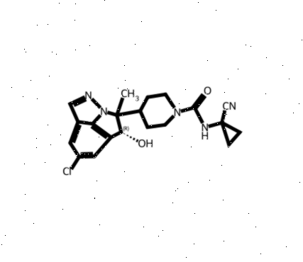 CC1(C2CCN(C(=O)NC3(C#N)CC3)CC2)[C@H](O)c2cc(Cl)cc3cnn1c23